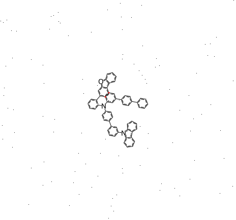 c1ccc(-c2ccc(-c3cccc(N(c4ccc(-c5cccc(-n6c7ccccc7c7ccccc76)c5)cc4)c4ccccc4-c4ccc5c(c4)oc4ccccc45)c3)cc2)cc1